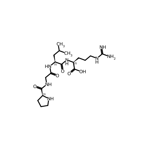 CC(C)C[C@H](NC(=O)CNC(=O)[C@@H]1CCCN1)C(=O)N[C@@H](CCCNC(=N)N)C(=O)O